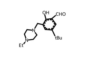 CCN1CCN(Cc2cc(C(C)(C)C)cc(C=O)c2O)CC1